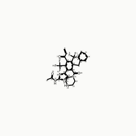 C=CC(=O)c1c(C(F)(F)F)c(Cc2ccccc2)c(C(=O)N2CCNCC2)c(-c2csc(NC(C)=O)n2)c1C(F)(F)F